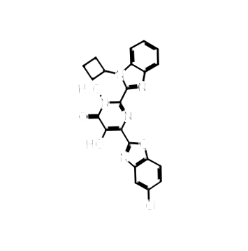 Cn1c(-c2nc3ccccc3n2C2CCC2)nc(-c2nc3cc(Cl)ccc3o2)c(O)c1=O